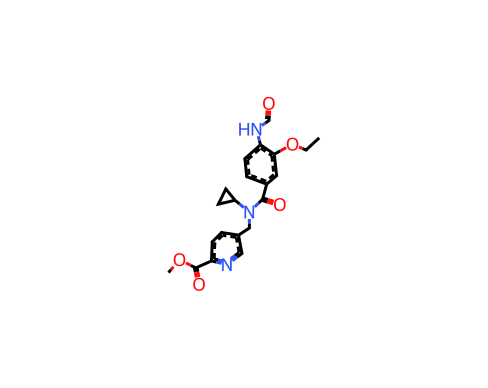 CCOc1cc(C(=O)N(Cc2ccc(C(=O)OC)nc2)C2CC2)ccc1NC=O